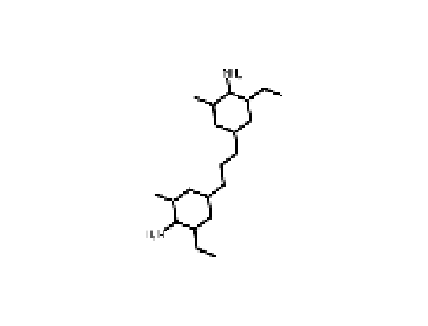 CCC1CC(CCCC2CC(C)C(N)C(CC)C2)CC(C)C1N